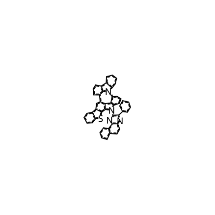 c1ccc(-c2nc3ccc4ccccc4c3nc2-n2c3cccc4c3c3c(cc5c6ccccc6sc5c32)c2cccc3c5ccccc5n4c23)cc1